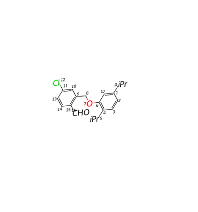 CC(C)c1ccc(C(C)C)c(OCc2cc(Cl)ccc2C=O)c1